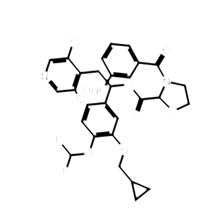 O=Cc1cccc(C(=O)N2CCSC2C(=O)OC(Cc2c(Cl)cncc2Cl)c2ccc(OC(F)F)c(OCC3CC3)c2)c1